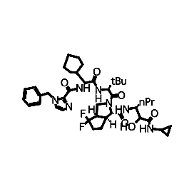 CCC[C@H](NC(=O)[C@@H]1[C@H]2CCC(F)(F)[C@H]2CN1C(=O)[C@@H](NC(=O)[C@@H](NC(=O)c1nccn1Cc1ccccc1)C1CCCCC1)C(C)(C)C)C(O)C(=O)NC1CC1